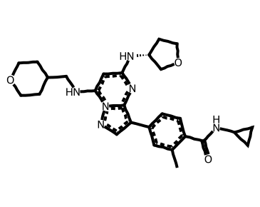 Cc1cc(-c2cnn3c(NCC4CCOCC4)cc(N[C@@H]4CCOC4)nc23)ccc1C(=O)NC1CC1